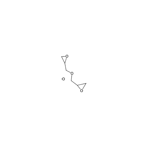 C(OCC1CO1)C1CO1.[O]